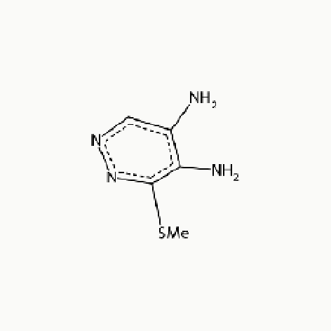 CSc1nncc(N)c1N